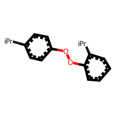 CC(C)c1ccc(OOc2ccccc2C(C)C)cc1